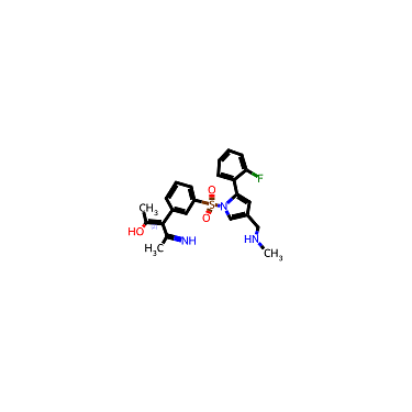 CNCc1cc(-c2ccccc2F)n(S(=O)(=O)c2cccc(/C(C(C)=N)=C(\C)O)c2)c1